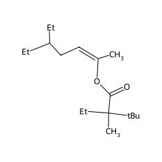 CCC(CC)C/C=C(/C)OC(=O)C(C)(CC)C(C)(C)C